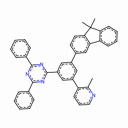 Cc1ncccc1-c1cc(-c2ccc3c(c2)-c2ccccc2C3(C)C)cc(-c2nc(-c3ccccc3)nc(-c3ccccc3)n2)c1